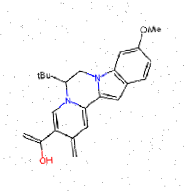 C=C(O)C1=CN2C(=CC1=C)c1cc3ccc(OC)cc3n1CC2C(C)(C)C